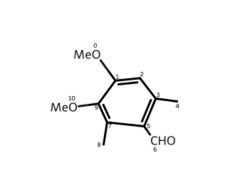 COc1cc(C)c(C=O)c(C)c1OC